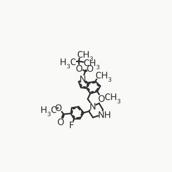 COC(=O)c1ccc(C2CNCCN2Cc2c(OC)cc(C)c3c2ccn3C(=O)OC(C)(C)C)cc1F